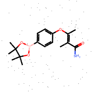 CC(Oc1ccc(B2OC(C)(C)C(C)(C)O2)cc1)=C(C)C(N)=O